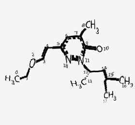 CCO/C=C/c1cc(C)c(=O)n([C@@H](C)CC(C)C)n1